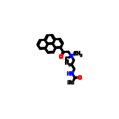 CCC(C)C(=O)NCCC[N+](C)(C)CC(=O)c1ccc2ccc3cccc4ccc1c2c34